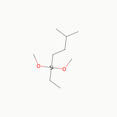 CC[Si](CCC(C)C)(OC)OC